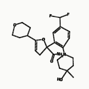 CC1(O)CCN(c2ccc(C(F)F)cc2C2(C(N)=O)CC=C(C3CCOCC3)O2)CC1